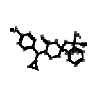 Cc1ccc(C(C2CC2)N2CCC(CC(C)(C)O)(c3ccccc3)OC2=O)cc1